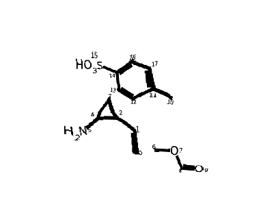 C=CC1CC1N.COC=O.Cc1ccc(S(=O)(=O)O)cc1